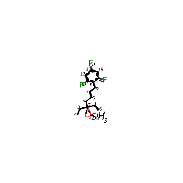 CCC(CC)(CCCCc1c(F)cc(F)cc1F)O[SiH3]